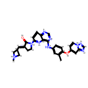 Cc1cc(Nc2ncnc3ccc(N4CC/C(=C\C5CN(C)C5)C4=O)nc23)ccc1Oc1ccn2ncnc2c1